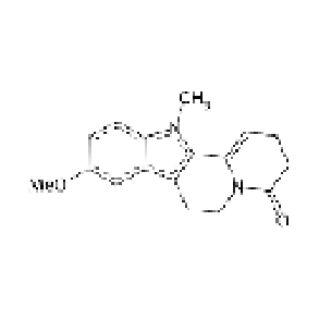 COc1ccc2c(c1)c1c(n2C)C2=CCCC(=O)N2CC1